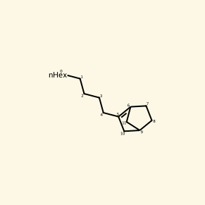 CCCCCCCCCCC1=C2CCC(C1)C2